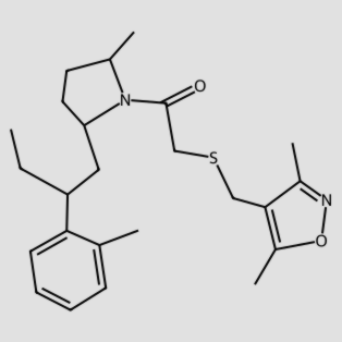 CCC(CC1CCC(C)N1C(=O)CSCc1c(C)noc1C)c1ccccc1C